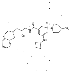 CN1CCN(C2(C)CC(C(=O)NC[C@H](O)CN3CCc4ccccc4C3)=CC(NC3CCC3)=N2)CC1